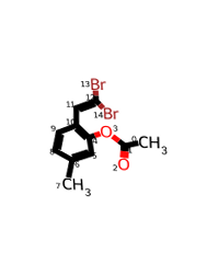 CC(=O)Oc1cc(C)ccc1C=C(Br)Br